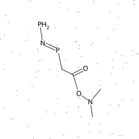 CN(C)OC(=O)CP=NP